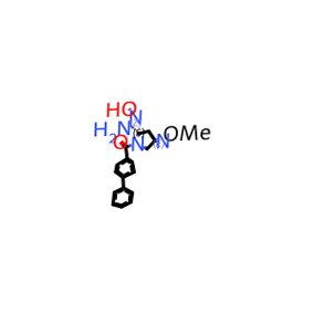 CO/N=C1\C[C@@H](/C(N)=N/O)N(C(=O)c2ccc(-c3ccccc3)cc2)C1